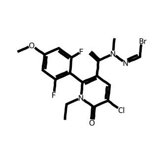 C=C(c1cc(Cl)c(=O)n(CC)c1-c1c(F)cc(OC)cc1F)N(C)/N=C\Br